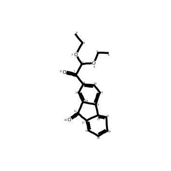 CCOC(OCC)C(=O)c1ccc2c(c1)C(=O)c1ccccc1-2